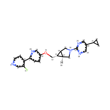 Fc1cnccc1-c1ccc(OC[C@@H]2C3CN(c4ncc(C5CC5)cn4)C[C@H]32)cn1